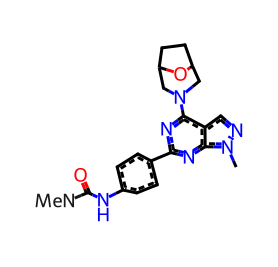 CNC(=O)Nc1ccc(-c2nc(N3CC4CCC(C3)O4)c3cnn(C)c3n2)cc1